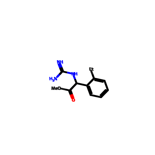 CCc1ccccc1C(NC(=N)N)C(=O)OC